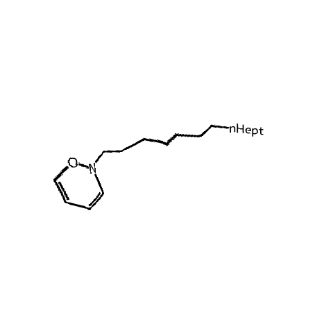 CCCCCCCCCCCCCCN1C=CC=CO1